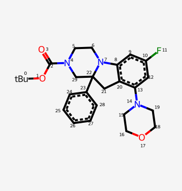 CC(C)(C)OC(=O)N1CCN2c3cc(F)cc(N4CCOCC4)c3CC2(c2ccccc2)C1